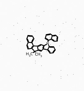 CC1(C)c2cc3c4ccccc4n(-c4cccc5ccccc45)c3cc2-c2c1ccc1ccccc21